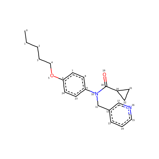 CCCCCOc1ccc(N(Cc2cccnc2)C(=O)C2CC2)cc1